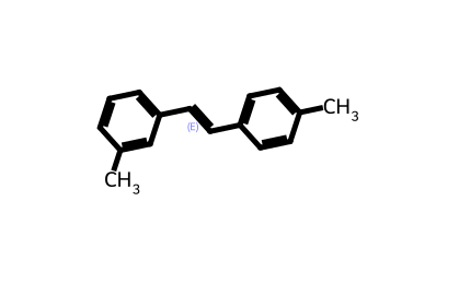 Cc1ccc(/C=C/c2cccc(C)c2)cc1